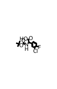 CC(C)(C)OC(=O)NC(C(=O)O)c1ccc(F)c(Cl)c1